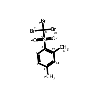 Cc1ccc(S(=O)(=O)C(Br)(Br)Br)c(C)c1